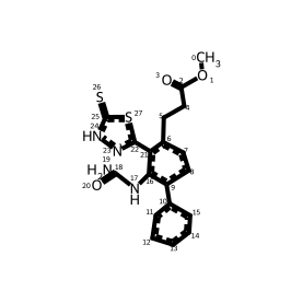 COC(=O)CCc1ccc(-c2ccccc2)c(NC(N)=O)c1-c1n[nH]c(=S)s1